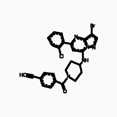 C#Cc1ccc(C(=O)N2CCC(Nc3cc(-c4ccccc4Cl)nc4c(Br)cnn34)CC2)cc1